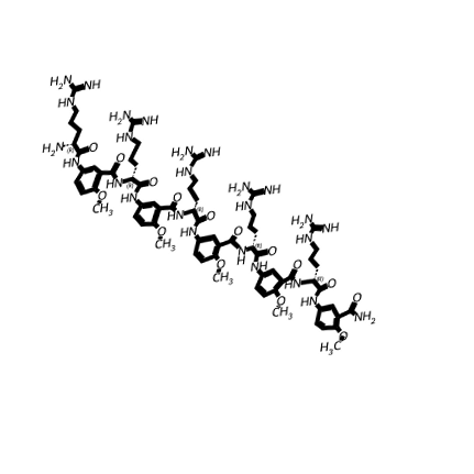 COc1ccc(NC(=O)[C@@H](CCCNC(=N)N)NC(=O)c2cc(NC(=O)[C@@H](CCCNC(=N)N)NC(=O)c3cc(NC(=O)[C@@H](CCCNC(=N)N)NC(=O)c4cc(NC(=O)[C@@H](CCCNC(=N)N)NC(=O)c5cc(NC(=O)[C@H](N)CCCNC(=N)N)ccc5OC)ccc4OC)ccc3OC)ccc2OC)cc1C(N)=O